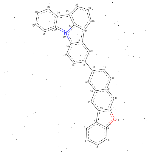 c1ccc2c(c1)oc1cc3ccc(-c4ccc5c(c4)c4cccc6c7ccccc7n5c64)cc3cc12